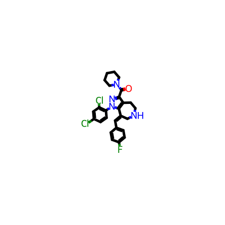 O=C(c1nn(-c2ccc(Cl)cc2Cl)c2c1CCNCC2=Cc1ccc(F)cc1)N1CCCCC1